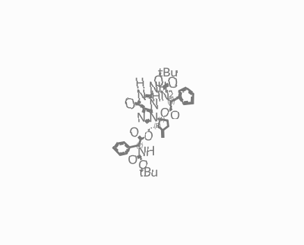 C=C1CC[C@@](OC(=O)[C@H](NC(=O)OC(C)(C)C)c2ccccc2)(n2cnc3c(=O)[nH]c(N)nc32)[C@H]1COC(=O)[C@H](NC(=O)OC(C)(C)C)c1ccccc1